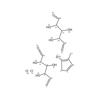 CC1=[C]([Zr+2])CC=C1.O=CC(O)C(O)C(O)C=O.O=CC(O)C(O)C(O)C=O.[Cl-].[Cl-]